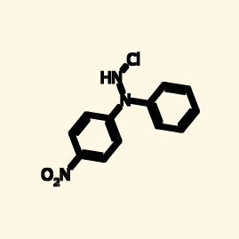 O=[N+]([O-])c1ccc(N(NCl)c2ccccc2)cc1